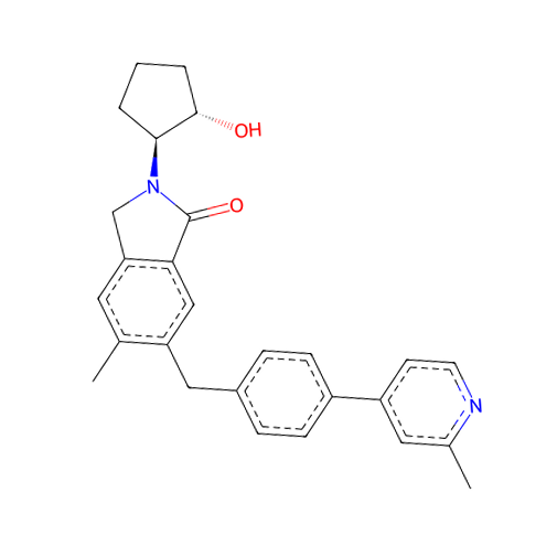 Cc1cc(-c2ccc(Cc3cc4c(cc3C)CN([C@H]3CCC[C@@H]3O)C4=O)cc2)ccn1